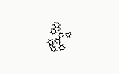 c1ccc(-c2nc(-c3cc(-c4cccnc4)cc(-c4cc5ccccc5c5ccccc45)c3)cc(-c3cccc4oc5ccccc5c34)n2)cc1